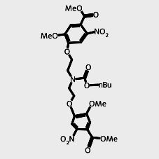 CCCCOC(=O)N(CCOc1cc([N+](=O)[O-])c(C(=O)OC)cc1OC)CCOc1cc([N+](=O)[O-])c(C(=O)OC)cc1OC